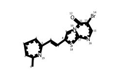 Cc1cccc(C=Cc2cn3c(=O)c(Br)cnc3s2)n1